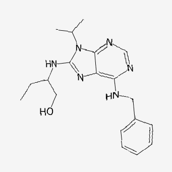 CCC(CO)Nc1nc2c(NCc3ccccc3)ncnc2n1C(C)C